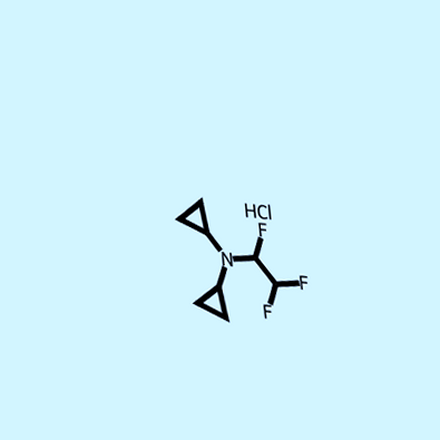 Cl.FC(F)C(F)N(C1CC1)C1CC1